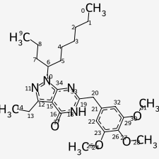 CCCCCCC(CCC)n1nc(CC)c2c(=O)[nH]c(Cc3cc(OC)c(OC)c(OC)c3)nc21